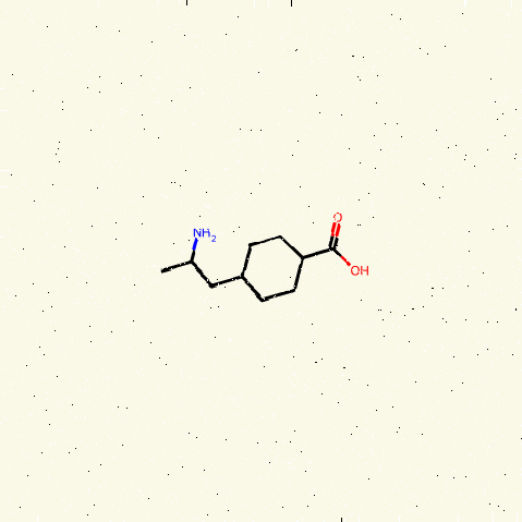 CC(N)CC1CCC(C(=O)O)CC1